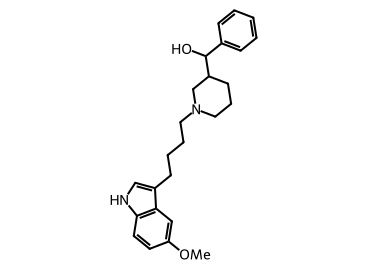 COc1ccc2[nH]cc(CCCCN3CCCC(C(O)c4ccccc4)C3)c2c1